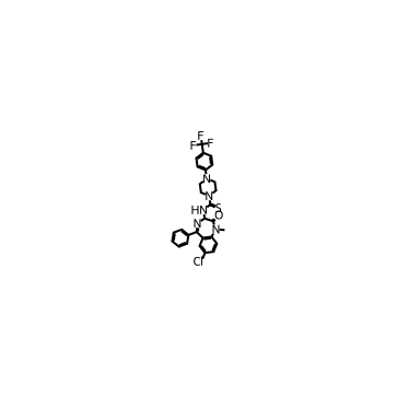 CN1C(=O)C(NC(=S)N2CCN(c3ccc(C(F)(F)F)cc3)CC2)N=C(c2ccccc2)c2cc(Cl)ccc21